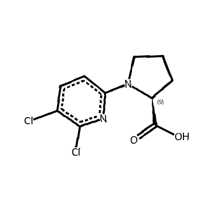 O=C(O)[C@@H]1CCCN1c1ccc(Cl)c(Cl)n1